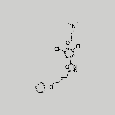 CN(C)CCCOc1c(Cl)cc(-c2nnc(CSCCOc3ccccc3)o2)cc1Cl